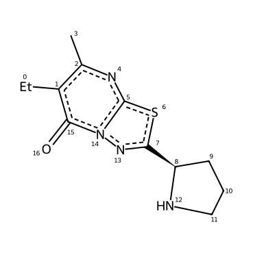 CCc1c(C)nc2sc([C@H]3CCCN3)nn2c1=O